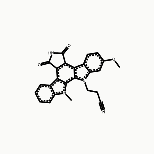 COc1ccc2c3c4c(c5c6ccccc6n(C)c5c3n(CCC#N)c2c1)C(=O)NC4=O